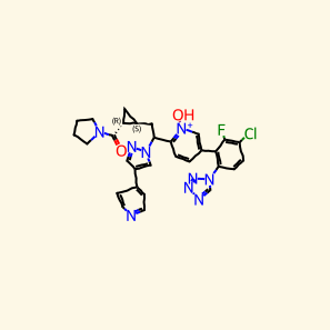 O=C([C@@H]1C[C@H]1CC(c1ccc(-c2c(-n3cnnn3)ccc(Cl)c2F)c[n+]1O)n1cc(-c2ccncc2)cn1)N1CCCC1